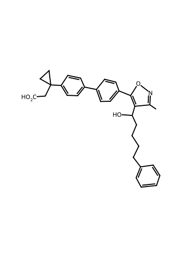 Cc1noc(-c2ccc(-c3ccc(C4(CC(=O)O)CC4)cc3)cc2)c1C(O)CCCCc1ccccc1